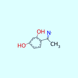 CC(=[N])c1ccc(O)cc1O